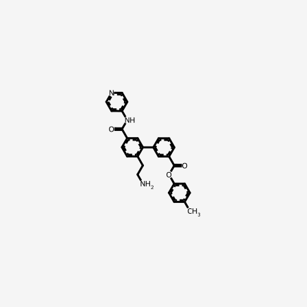 Cc1ccc(OC(=O)c2cccc(-c3cc(C(=O)Nc4ccncc4)ccc3CCN)c2)cc1